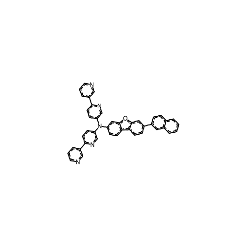 c1cncc(-c2ccc(N(c3ccc(-c4cccnc4)nc3)c3ccc4c(c3)oc3cc(-c5ccc6ccccc6c5)ccc34)cn2)c1